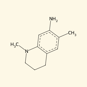 Cc1cc2c(cc1N)N(C)CCC2